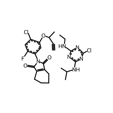 C#CC(C)Oc1cc(N2C(=O)C3=C(CCCC3)C2=O)c(F)cc1Cl.CCNc1nc(Cl)nc(NC(C)C)n1